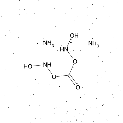 N.N.O=C(ONO)ONO